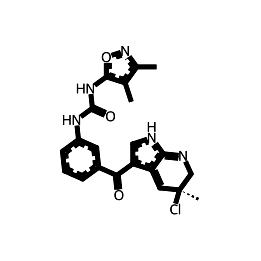 Cc1noc(NC(=O)Nc2cccc(C(=O)c3c[nH]c4c3=C[C@](C)(Cl)CN=4)c2)c1C